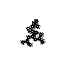 CC1(C)c2ccccc2C(c2ccc(-c3nc4ccccc4n3-c3ccccc3)cc2)c2cc3c4ccccc4n(-c4cc(-c5cccc(-c6cc(-c7ccccc7)cc(-c7ccccc7)c6)c5)cc(-c5cccc(-c6cc(-c7ccccc7)cc(-c7ccccc7)c6)c5)c4)c3cc21